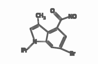 Cc1cn(C(C)C)c2cc(Br)cc(C(=O)N=O)c12